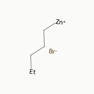 CCCC[CH2][Zn+].[Br-]